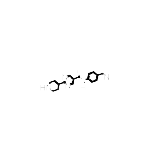 NCc1ccc(NC(=O)c2cnc(C3=CCNCC3)nc2)cc1